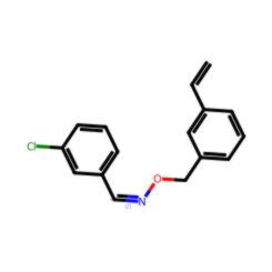 C=Cc1cccc(CO/N=[C]\c2cccc(Cl)c2)c1